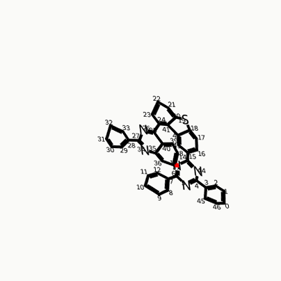 c1ccc(-c2nc(-c3ccccc3)nc(-c3ccc4sc5cccc(-c6nc(-c7ccccc7)nc7ccccc67)c5c4c3)n2)cc1